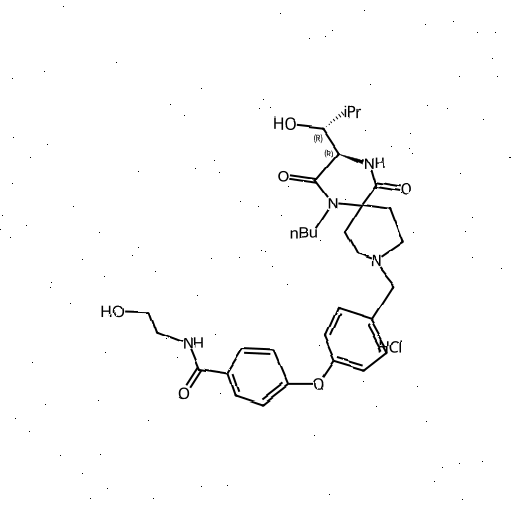 CCCCN1C(=O)[C@@H]([C@H](O)C(C)C)NC(=O)C12CCN(Cc1ccc(Oc3ccc(C(=O)NCCO)cc3)cc1)CC2.Cl